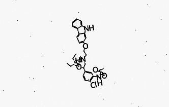 CC[Si](CC)(CC)OC(CNCCOc1ccc2c(c1)[nH]c1ccccc12)c1ccc(Cl)c(NS(C)(=O)=O)c1